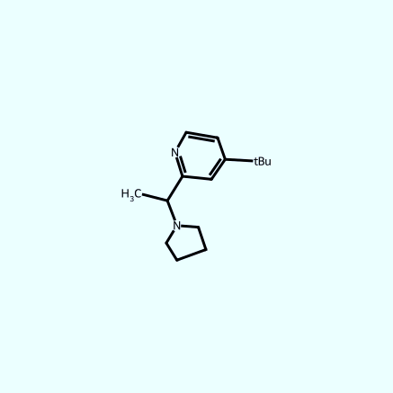 CC(c1cc(C(C)(C)C)ccn1)N1CCCC1